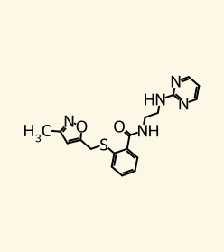 Cc1cc(CSc2ccccc2C(=O)NCCNc2ncccn2)on1